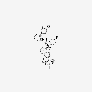 COc1ccc([C@@H]2CCCC[C@@H]2NC(=O)C[C@@H]2CCc3cc(C(O)(C(F)(F)F)C(F)(F)F)ccc3N2S(=O)(=O)c2ccc(F)cc2)cn1